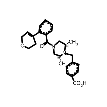 C[C@@H]1CN(C(=O)c2ccccc2C2=CCOCC2)C[C@H](C)N1Cc1ccc(C(=O)O)cc1